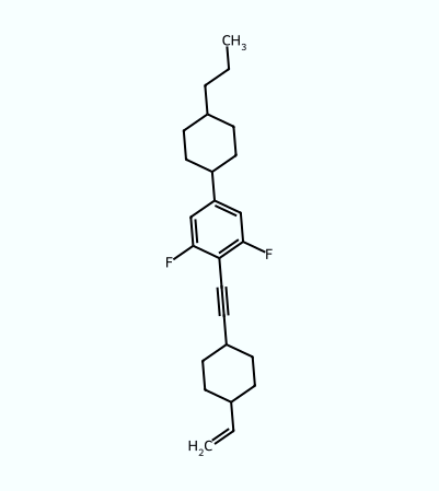 C=CC1CCC(C#Cc2c(F)cc(C3CCC(CCC)CC3)cc2F)CC1